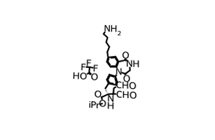 CC(C)OC(=O)[C@]1(Cc2ccc(N3C(=O)CNC(=O)c4cc(CCCCCN)ccc43)cc2)NC1(C=O)CC=O.O=C(O)C(F)(F)F